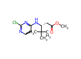 COC(=O)C[C@@H](Nc1ccnc(Cl)n1)C(C)(C)C